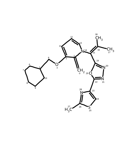 C=C1C(OCC2CCCCC2)=CC=CN1C(=C(C)C)c1nnc(-c2csc(C)n2)o1